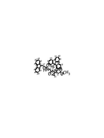 COC(=O)CC(O)C1(NC(=O)[C@@H](CSC(c2ccccc2)(c2ccccc2)c2ccccc2)NC(=O)OCC2c3ccccc3-c3ccccc32)CC1